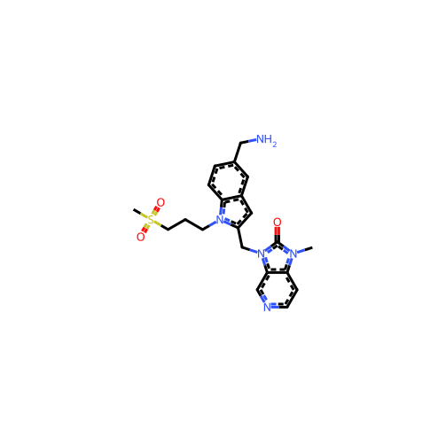 Cn1c(=O)n(Cc2cc3cc(CN)ccc3n2CCCS(C)(=O)=O)c2cnccc21